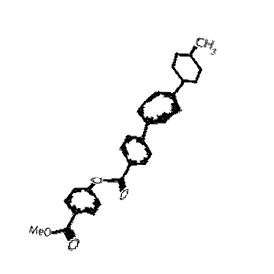 COC(=O)c1ccc(OC(=O)c2ccc(-c3ccc(C4CCC(C)CC4)cc3)cc2)cc1